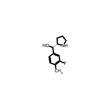 Cc1ccc(C(O)[C@@H]2CCCN2)cc1F